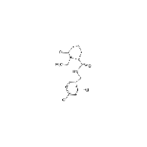 CCN1C(=O)CCCC1C(=O)NCc1ccc(Cl)cc1Cl